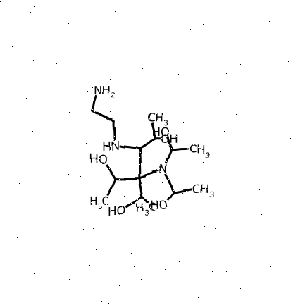 CC(O)C(NCCN)C(C(C)O)(C(C)O)N(C(C)O)C(C)O